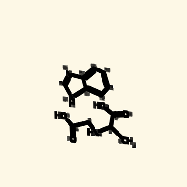 CC(NCC(=O)O)C(=O)O.c1ccc2[nH]cnc2c1